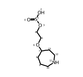 O=S(O)OCCOC1CCCNCC1